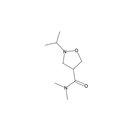 CC(C)N1CC(C(=O)N(C)C)CO1